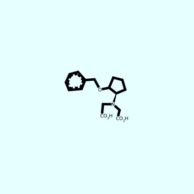 O=C(O)CN(CC(=O)O)[C@@H]1CCCC1OCc1ccccc1